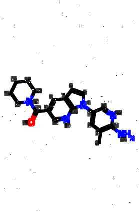 Cc1cc(-n2ccc3cc(C(=O)N4CCCCC4)cnc32)cnc1N